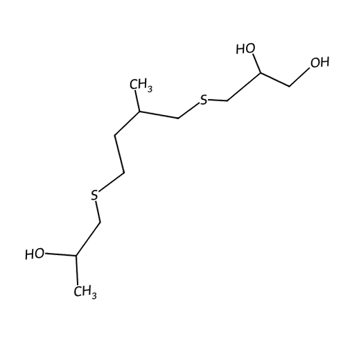 CC(O)CSCCC(C)CSCC(O)CO